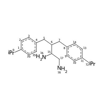 CC(C)c1ccc(CC(Cc2ccc(C(C)C)cc2)C(N)CN)cc1